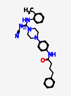 Cc1ccccc1N/C(=N/C#N)N1CCN(c2ccc(NC(=O)CCCc3ccccc3)cc2)CC1